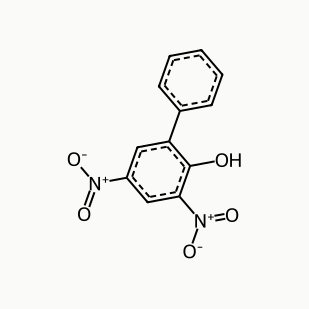 O=[N+]([O-])c1cc(-c2ccccc2)c(O)c([N+](=O)[O-])c1